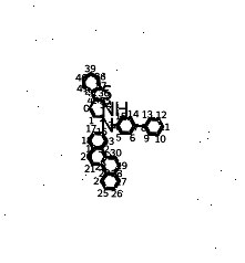 C1=CC(N(c2ccc(-c3ccccc3)cc2)c2ccc3ccc4c5ccccc5ccc4c3c2)Nc2sc3ccccc3c21